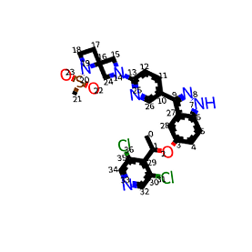 CC(Oc1ccc2[nH]nc(-c3ccc(N4CC5(CCN5S(C)(=O)=O)C4)nc3)c2c1)c1c(Cl)cncc1Cl